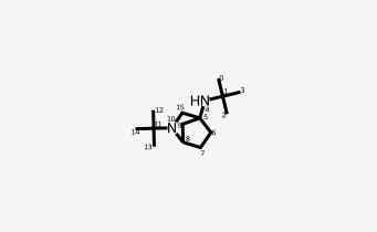 CC(C)(C)NC12CCC(C1)N(C(C)(C)C)C2